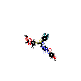 CCOC(=O)C(C)Oc1ccc(SCc2sc(-c3ccc(C(F)(F)F)cc3)nc2CN2CCN(C(=O)Nc3ccc(OC)cc3)CC2)cc1C